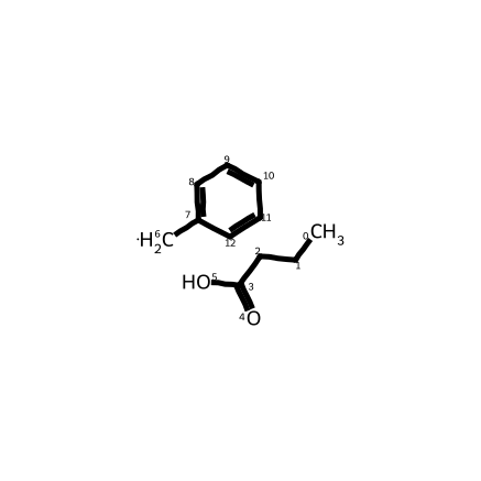 CCCC(=O)O.[CH2]c1ccccc1